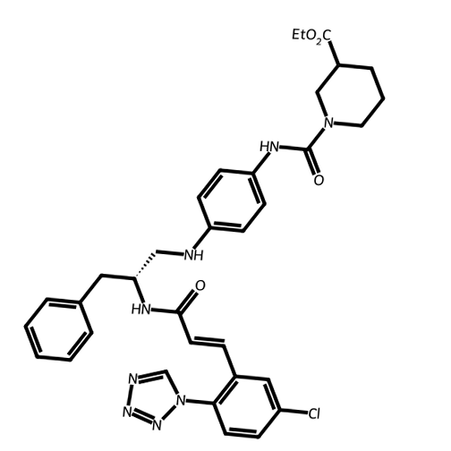 CCOC(=O)C1CCCN(C(=O)Nc2ccc(NC[C@@H](Cc3ccccc3)NC(=O)/C=C/c3cc(Cl)ccc3-n3cnnn3)cc2)C1